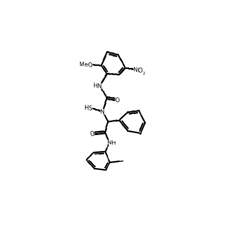 COc1ccc([N+](=O)[O-])cc1NC(=O)N(S)C(C(=O)Nc1ccccc1C)c1ccccc1